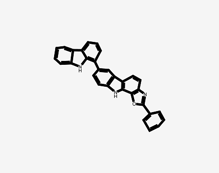 c1ccc(-c2nc3ccc4c5cc(-c6cccc7c6[nH]c6ccccc67)ccc5[nH]c4c3o2)cc1